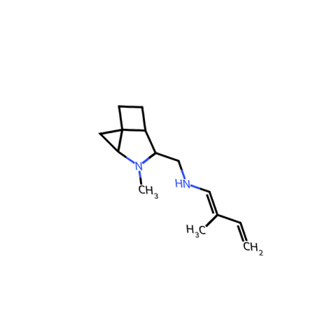 C=C/C(C)=C/NCC1C2CCC23CC3N1C